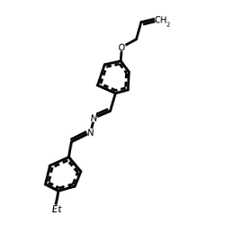 C=CCOc1ccc(C=NN=Cc2ccc(CC)cc2)cc1